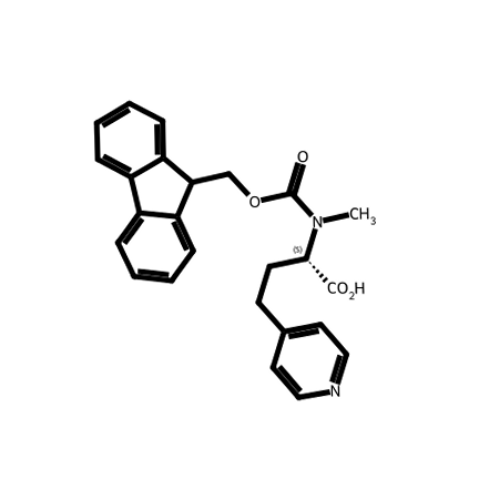 CN(C(=O)OCC1c2ccccc2-c2ccccc21)[C@@H](CCc1ccncc1)C(=O)O